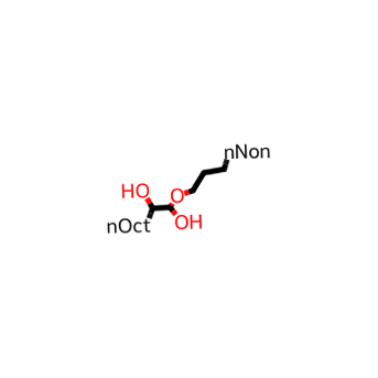 CCCCCCCCCCCCOC(O)C(O)CCCCCCCC